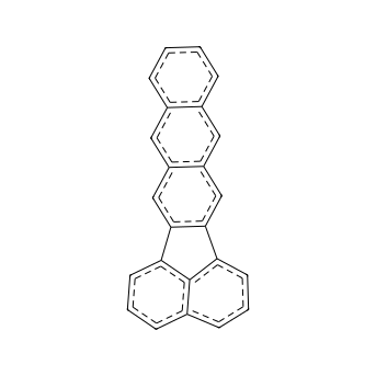 c1ccc2cc3cc4c(cc3cc2c1)-c1cccc2cccc-4c12